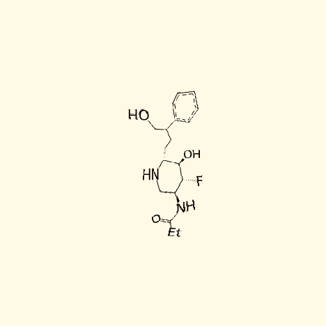 CCC(=O)N[C@H]1CN[C@H](CCC(CO)c2ccccc2)[C@@H](O)[C@@H]1F